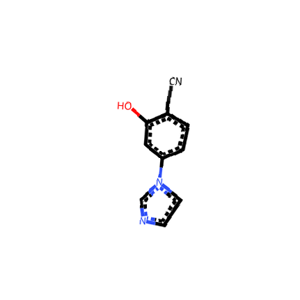 N#Cc1ccc(-n2ccnc2)cc1O